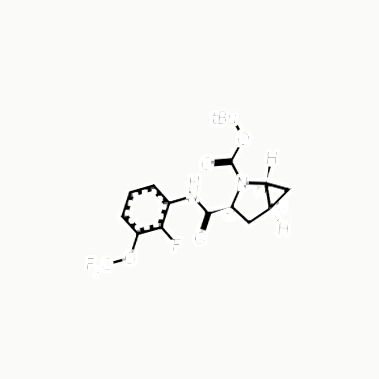 CC(C)(C)OC(=O)N1[C@@H]2C[C@H]2C[C@H]1C(=O)Nc1cccc(OC(F)(F)F)c1F